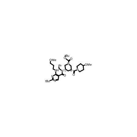 COCCCNc1nc(C(C)(C)C)ncc1C(=O)N(CC(C)C)[C@H]1C[C@@H](C(=O)N2CCC(OC)CC2)CN(C(=O)OC(C)(C)C)C1